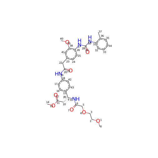 COCCOCC(=O)N[C@H](CC(=O)OC)c1ccc(NC(=O)Cc2ccc(NC(=O)Nc3ccccc3C)c(OC)c2)cc1